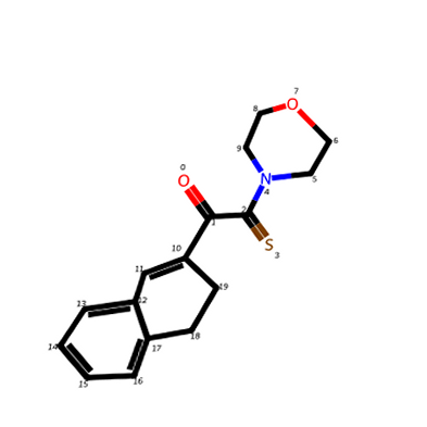 O=C(C(=S)N1CCOCC1)C1=Cc2ccccc2CC1